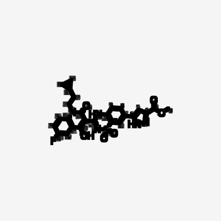 COC(=O)c1cc(-c2ccc3c(c2)S(=O)(=O)N=C(c2c(O)c4cc(F)ccc4n(CCC4CC4)c2=O)N3)[nH]n1